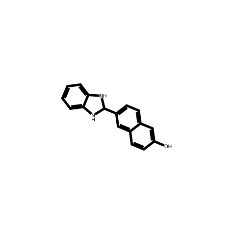 Oc1ccc2cc(C3Nc4ccccc4N3)ccc2c1